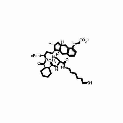 CCCCC[C@@H](CC[C@@H]1[C@H]2Cc3cccc(OCC(=O)O)c3C[C@H]2C[C@H]1C)OC(=O)[C@@H]1CCCC[C@@H]1C(=O)NC(CN)C(=O)NCCCCCCS